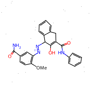 COc1ccc(C(N)=O)cc1/N=N/C1C(O)=C(C(=O)Nc2ccccc2)Cc2ccccc21